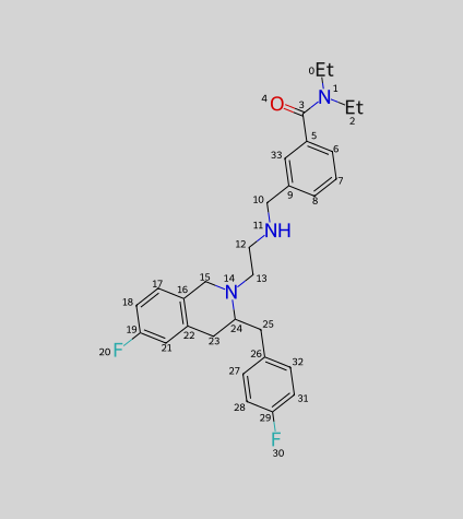 CCN(CC)C(=O)c1cccc(CNCCN2Cc3ccc(F)cc3CC2Cc2ccc(F)cc2)c1